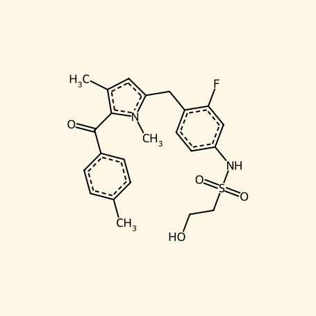 Cc1ccc(C(=O)c2c(C)cc(Cc3ccc(NS(=O)(=O)CCO)cc3F)n2C)cc1